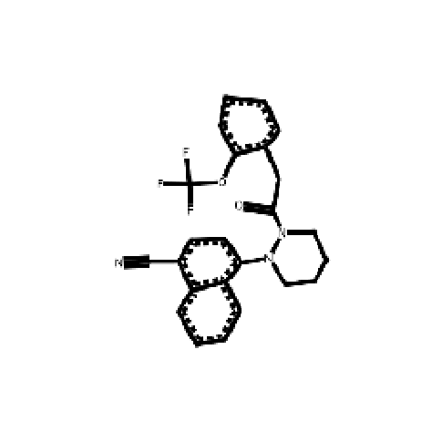 N#Cc1ccc(N2CCCCN2C(=O)Cc2ccccc2OC(F)(F)F)c2ccccc12